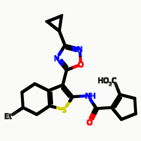 CCC1CCc2c(sc(NC(=O)C3=C(C(=O)O)CCC3)c2-c2nc(C3CC3)no2)C1